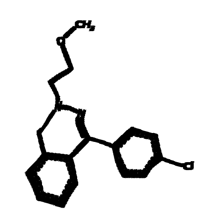 COCCN1Cc2ccccc2C(c2ccc(Cl)cc2)=N1